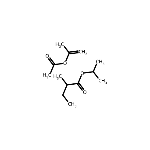 C=C(C)OC(C)=O.CCC(C)C(=O)OC(C)C